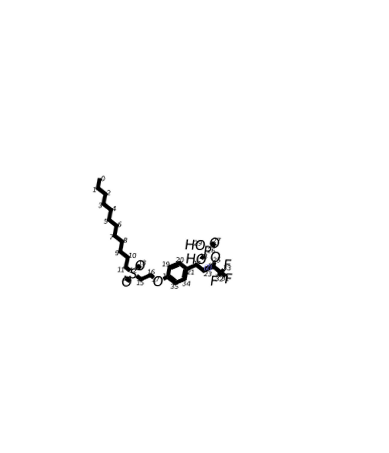 CCCCCCCCCCCCS(=O)(=O)CCOc1ccc(C/C=C(\OP(=O)(O)O)C(F)(F)F)cc1